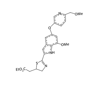 CCOC(=O)CC1CN=C(c2cc3cc(Oc4ccc(COC)nc4)cc(OC)c3[nH]2)S1